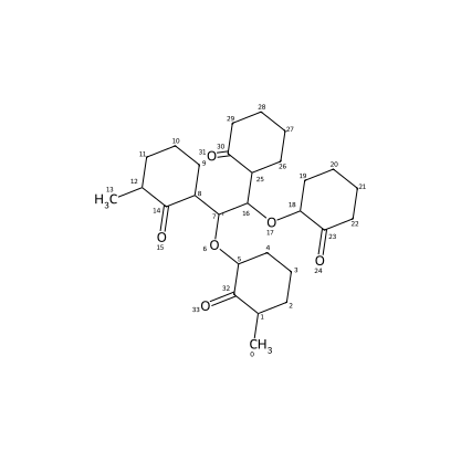 CC1CCCC(O[C](C2CCCC(C)C2=O)C(OC2CCCCC2=O)C2CCCCC2=O)C1=O